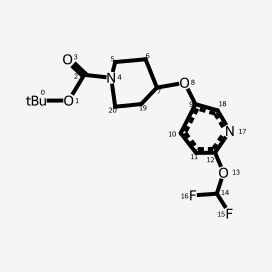 CC(C)(C)OC(=O)N1CCC(Oc2ccc(OC(F)F)nc2)CC1